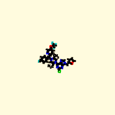 C[C@@H]1CN(c2nc(Cl)nc3c2ncn3C[C@@H]2CCCO2)[C@@H](C)CN1C(c1ccc(F)cc1)c1ccc(OC(F)(F)F)cn1